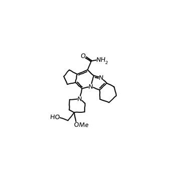 COC1(CO)CCN(c2c3c(c(C(N)=O)c4nc5c(n24)CCCC5)CCC3)CC1